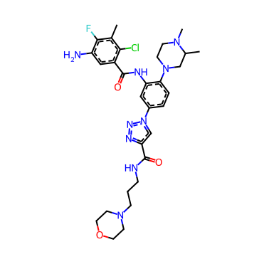 Cc1c(F)c(N)cc(C(=O)Nc2cc(-n3cc(C(=O)NCCCN4CCOCC4)nn3)ccc2N2CCN(C)C(C)C2)c1Cl